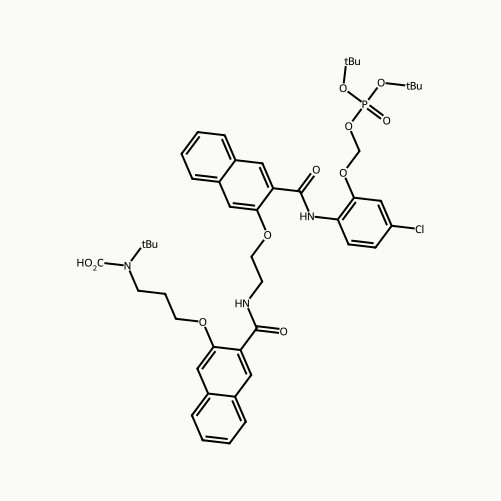 CC(C)(C)OP(=O)(OCOc1cc(Cl)ccc1NC(=O)c1cc2ccccc2cc1OCCNC(=O)c1cc2ccccc2cc1OCCCN(C(=O)O)C(C)(C)C)OC(C)(C)C